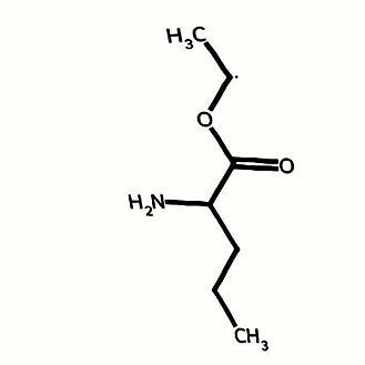 C[CH]OC(=O)C(N)CCC